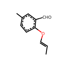 CC=COc1ccc(C)cc1C=O